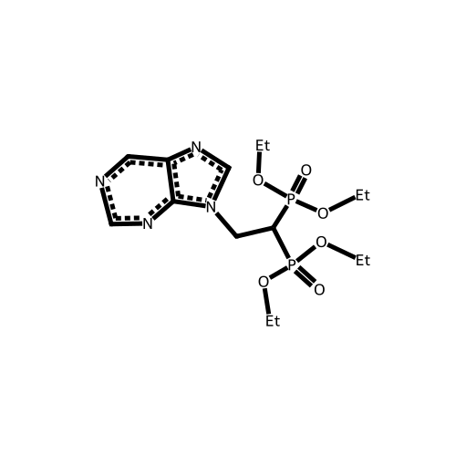 CCOP(=O)(OCC)C(Cn1cnc2cncnc21)P(=O)(OCC)OCC